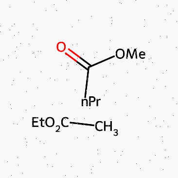 CCCC(=O)OC.CCOC(C)=O